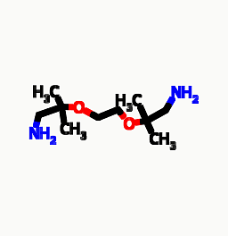 CC(C)(CN)OCCOC(C)(C)CN